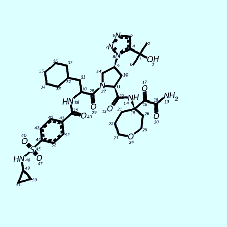 CC(C)(O)c1cnnn1[C@H]1C[C@@H](C(=O)N[C@]2(C(=O)C(N)=O)CCCOCC2)N(C(=O)C(CC2CCCCC2)NC(=O)c2ccc(S(=O)(=O)NC3CC3)cc2)C1